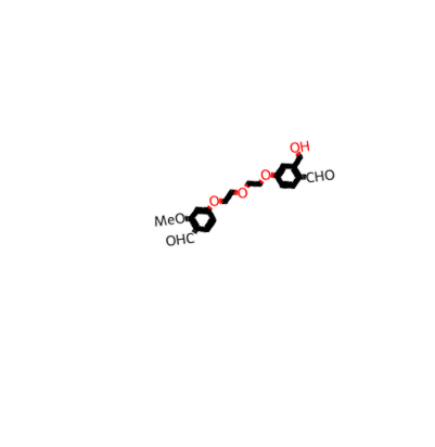 COc1cc(OCCOCCOc2ccc(C=O)c(CO)c2)ccc1C=O